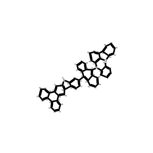 Cc1ccccc1N(c1c2ccccc2c(-c2ccc3c(c2)sc2cc4c5ccccc5c5ccccc5c4cc23)c2ccccc12)c1cccc2c1oc1ccccc12